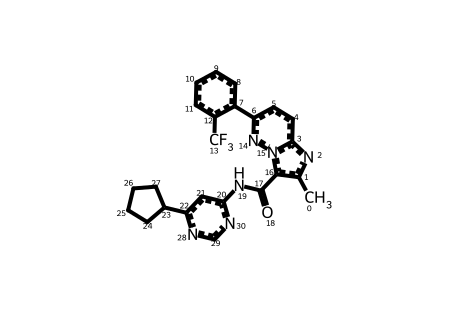 Cc1nc2ccc(-c3ccccc3C(F)(F)F)nn2c1C(=O)Nc1cc(C2CCCC2)ncn1